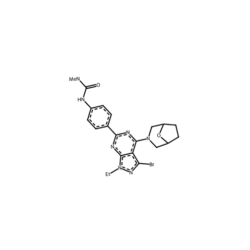 CCn1nc(Br)c2c(N3CC4CCC(C3)O4)nc(-c3ccc(NC(=O)NC)cc3)nc21